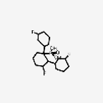 O=P(O)(O)C1(C2CCCC(F)C2)CCCC(F)C1C1CCCC(F)C1